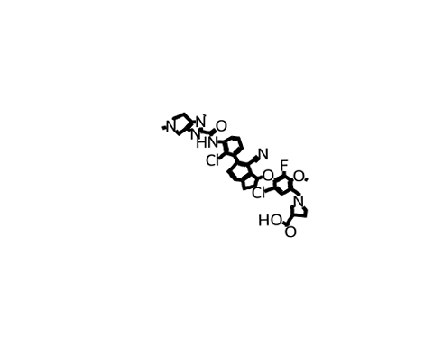 COc1c(CN2CCC(C(=O)O)C2)cc(Cl)c(OC2CCc3ccc(-c4cccc(NC(=O)c5nc6c(n5C)CCN(C)C6)c4Cl)c(C#N)c32)c1F